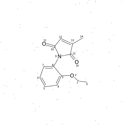 CCOc1ccccc1N1C(=O)C=C(C)C1=O